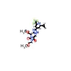 COCCN1C(=O)C(=Cn2cnc(-c3cc(C4CC4)nc(C(F)(F)F)c3)n2)N(CCOC)C1=O